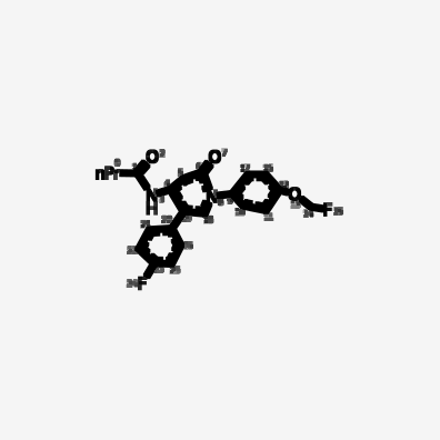 CCCC(=O)Nc1cc(=O)n(-c2ccc(OCF)cc2)cc1-c1ccc(F)cc1